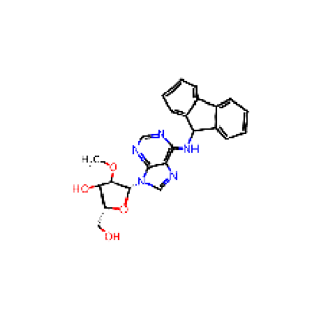 COC1C(O)[C@@H](CO)O[C@H]1n1cnc2c(NC3c4ccccc4-c4ccccc43)ncnc21